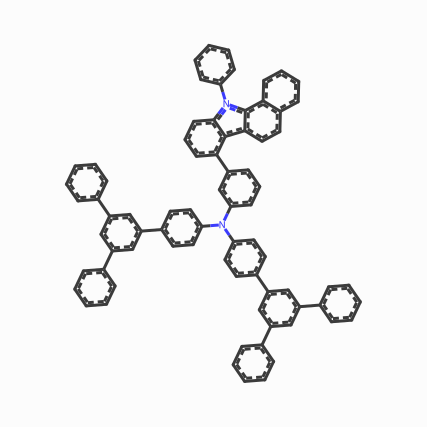 c1ccc(-c2cc(-c3ccccc3)cc(-c3ccc(N(c4ccc(-c5cc(-c6ccccc6)cc(-c6ccccc6)c5)cc4)c4cccc(-c5cccc6c5c5ccc7ccccc7c5n6-c5ccccc5)c4)cc3)c2)cc1